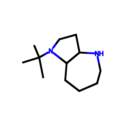 CC(C)(C)N1CCC2NCCCCC21